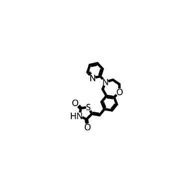 O=C1NC(=O)C(=Cc2ccc3c(c2)CN(c2ccccn2)CCO3)S1